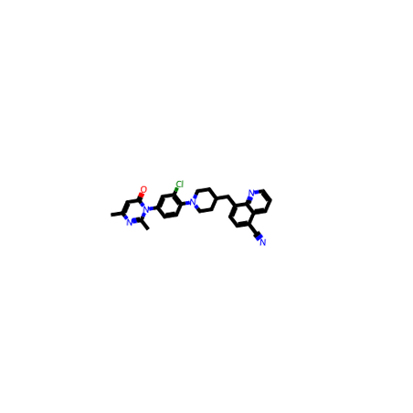 Cc1cc(=O)n(-c2ccc(N3CCC(Cc4ccc(C#N)c5cccnc45)CC3)c(Cl)c2)c(C)n1